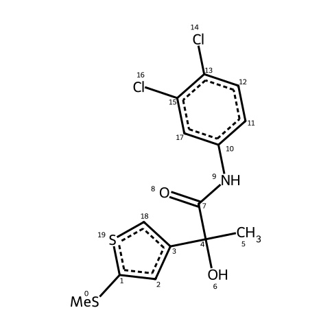 CSc1cc(C(C)(O)C(=O)Nc2ccc(Cl)c(Cl)c2)cs1